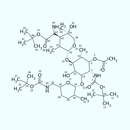 CC(=O)OC1[C@H](NC(=O)OC(C)(C)C)C(O[C@H]2OC(CNC(=O)OC(C)(C)C)CCC2C)C(O)[C@@H](O[C@H]2OC[C@](C)(O)[C@H](C(N)C(=O)OC(C)(C)C)C2C)[C@@H]1C